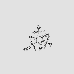 O=S(=O)(O)c1c(O)c(S(=O)(=O)O)c(O)c(S(=O)(=O)O)c1O.[NaH]